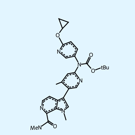 CNC(=O)c1nccc2c(-c3cnc(N(C(=O)OC(C)(C)C)c4ccc(OC5CC5)nc4)cc3C)cn(C)c12